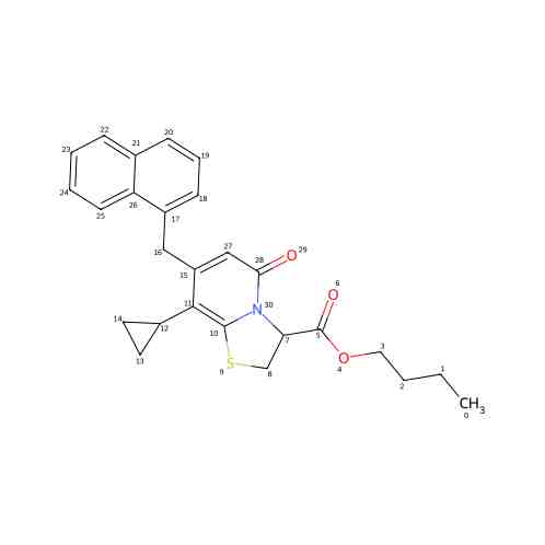 CCCCOC(=O)C1CSc2c(C3CC3)c(Cc3cccc4ccccc34)cc(=O)n21